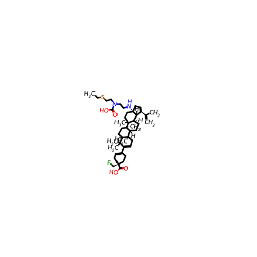 C=C(C)[C@@H]1CC[C@]2(NCCN(CCSCC)C(=O)O)CC[C@]3(C)[C@H](CC[C@@H]4[C@@]5(C)CC=C(C6=CC[C@@](CF)(C(=O)O)CC6)C(C)(C)[C@@H]5CC[C@]43C)[C@@H]12